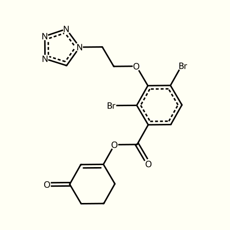 O=C1C=C(OC(=O)c2ccc(Br)c(OCCn3cnnn3)c2Br)CCC1